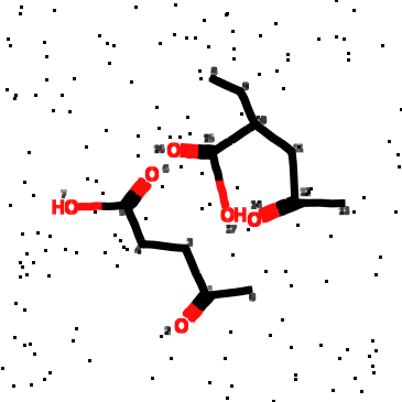 CC(=O)CCC(=O)O.CCC(CC(C)=O)C(=O)O